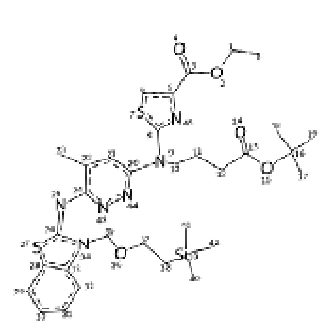 CCOC(=O)c1csc(N(CCCC(=O)OC(C)(C)C)c2cc(C)c(N=c3sc4ccccc4n3COCC[Si](C)(C)C)nn2)n1